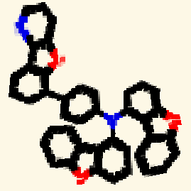 c1ccc2c(c1)oc1cccc(N(c3ccc(-c4cccc5c4oc4cccnc45)cc3)c3cccc4oc5ccccc5c34)c12